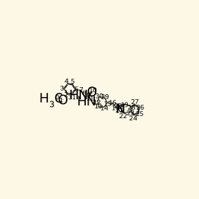 COc1cccc(CNC(=O)N[C@H]2CC[C@H](CCN3C4CCC3c3ccccc34)CC2)c1